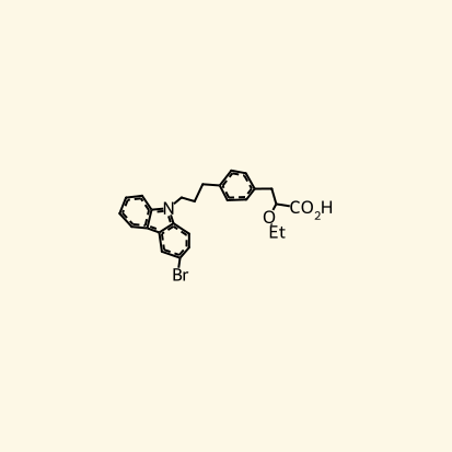 CCOC(Cc1ccc(CCCn2c3ccccc3c3cc(Br)ccc32)cc1)C(=O)O